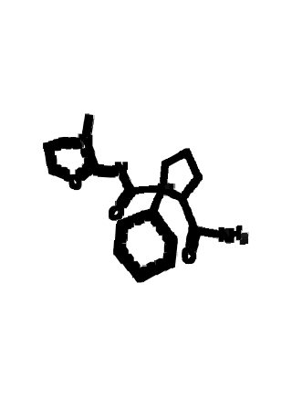 Cn1ccoc1=NC(=O)[N+]1(c2ccccc2)CCCC1C(N)=O